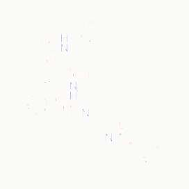 CC(C)[C@H](NC(=O)[C@@H](Cc1cccc(Cl)c1)C[C@H](O)[C@@H](Cc1ccccc1)NC(=O)OC(C)(C)C)C(=O)N1CCC(N(C)C(=O)OCc2ccccc2)CC1